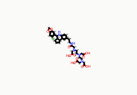 O=C(O)CN(CCN(CC(=O)O)CC(=O)O)CCN(CC(=O)O)CC(=O)NCCc1ccc2c(c1)C1C=CCC1C(c1cc3c(cc1Br)OCO3)N2